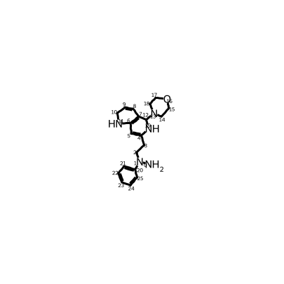 NN(CCC1=CC2=C(C=CCN2)C(N2CCOCC2)N1)c1ccccc1